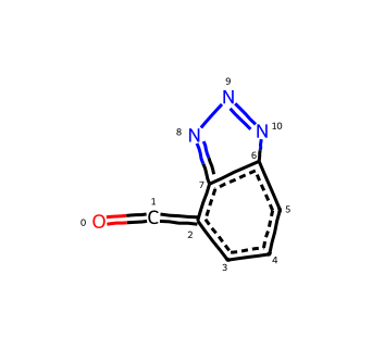 O=C=c1cccc2c1=NN=N2